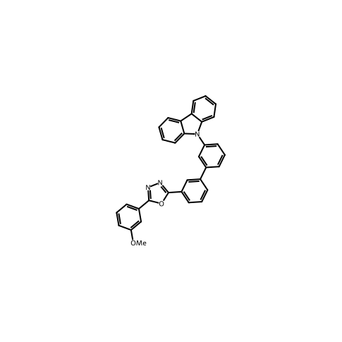 COc1cccc(-c2nnc(-c3cccc(-c4cccc(-n5c6ccccc6c6ccccc65)c4)c3)o2)c1